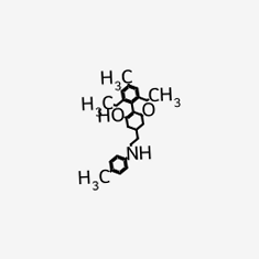 CCc1cc(C)cc(CC)c1C1=C(O)CC(CCNc2ccc(C)cc2)CC1=O